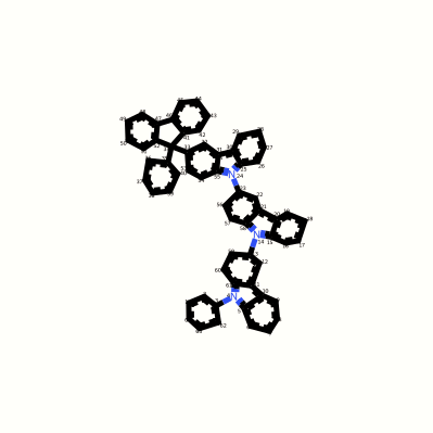 c1ccc(-n2c3ccccc3c3cc(-n4c5ccccc5c5cc(-n6c7ccccc7c7cc(C8(c9ccccc9)c9ccccc9-c9ccccc98)ccc76)ccc54)ccc32)cc1